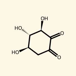 O=C1C[C@@H](O)[C@H](O)[C@@H](O)C1=O